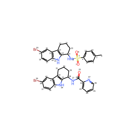 Cc1ccc(S(=O)(=O)NC2CCCc3c2[nH]c2ccc(Br)cc32)cc1.O=C(NC1CCCc2c1[nH]c1ccc(Br)cc21)c1ccccn1